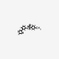 Cc1ccc(S(=O)(=O)N=Cc2cccc(-c3cnccn3)c2)cc1